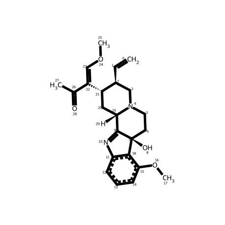 C=C[C@H]1CN2CC[C@@]3(O)C(=Nc4cccc(OC)c43)[C@@H]2C[C@@H]1/C(=C\OC)C(C)=O